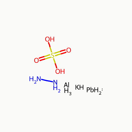 NN.O=S(=O)(O)O.[AlH3].[KH].[PbH2]